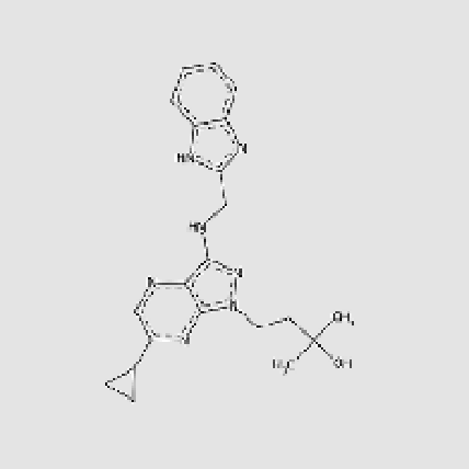 CC(C)(O)CCn1nc(NCc2nc3ccccc3[nH]2)c2ncc(C3CC3)nc21